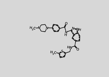 Cc1ccc(CNC(=O)c2ccc3[nH]nc(NC(=O)c4ccc(N5CCN(C)CC5)cc4)c3c2)s1